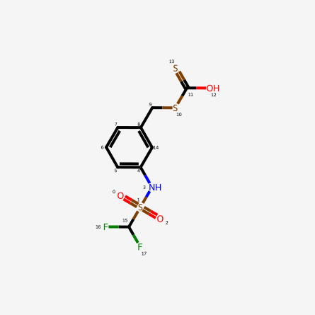 O=S(=O)(Nc1cccc(CSC(O)=S)c1)C(F)F